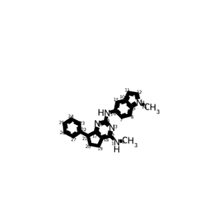 CNc1nc(Nc2ccc3c(ccn3C)c2)nc2c1CCC2c1ccccc1